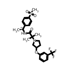 C[C@H](NC(=O)C(C)(C)N1CCC(Oc2cccc(C(F)(F)F)c2)C1)c1ccc(S(C)(=O)=O)cc1